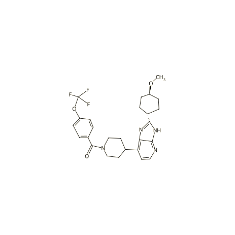 CO[C@H]1CC[C@H](c2nc3c(C4CCN(C(=O)c5ccc(OC(F)(F)F)cc5)CC4)ccnc3[nH]2)CC1